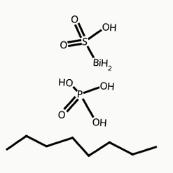 CCCCCCCC.O=P(O)(O)O.O=[S](=O)(O)[BiH2]